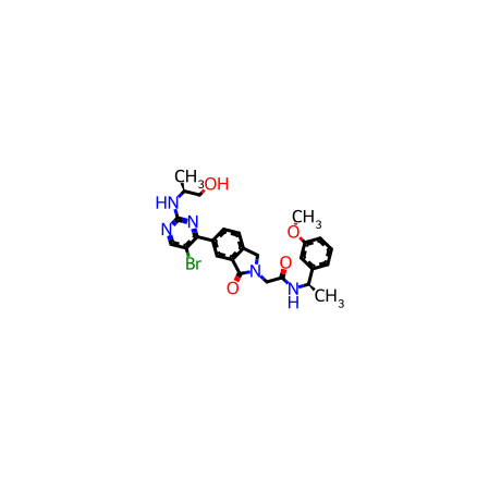 COc1cccc([C@@H](C)NC(=O)CN2Cc3ccc(-c4nc(N[C@@H](C)CO)ncc4Br)cc3C2=O)c1